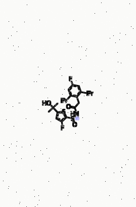 CC(C)c1cc(F)cc(C(C)C)c1CC(=O)/N=[SH](=O)\c1sc(C(C)(C)O)cc1F